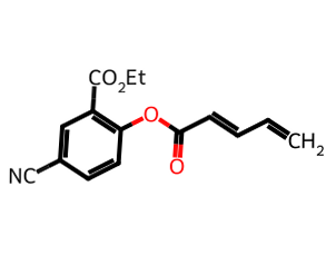 C=CC=CC(=O)Oc1ccc(C#N)cc1C(=O)OCC